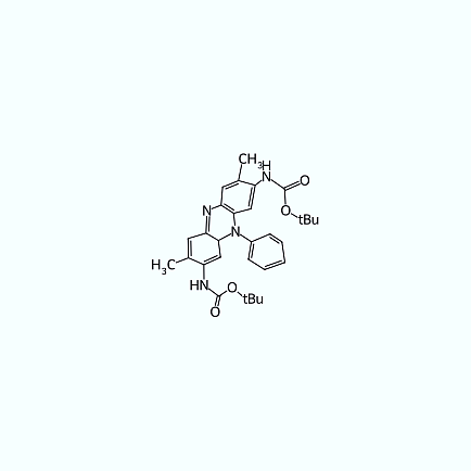 CC1=CC2=Nc3cc(C)c(NC(=O)OC(C)(C)C)cc3N(c3ccccc3)C2C=C1NC(=O)OC(C)(C)C